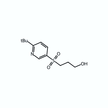 CC(C)(C)c1ccc(S(=O)(=O)CCCO)cn1